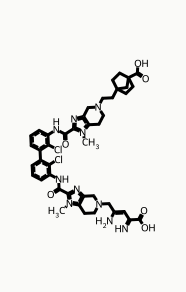 Cn1c(C(=O)Nc2cccc(-c3cccc(NC(=O)c4nc5c(n4C)CCN(C/C(N)=C/C(=N)C(=O)O)C5)c3Cl)c2Cl)nc2c1CCN(CCC13CCC(C(=O)O)(CC1)C3)C2